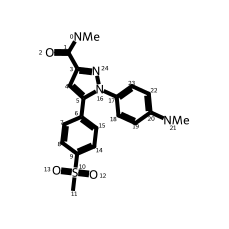 CNC(=O)c1cc(-c2ccc(S(C)(=O)=O)cc2)n(-c2ccc(NC)cc2)n1